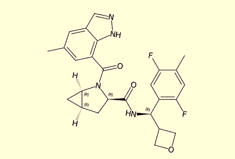 Cc1cc(C(=O)N2[C@@H](C(=O)N[C@@H](c3cc(F)c(C)cc3F)C3COC3)C[C@H]3C[C@H]32)c2[nH]ncc2c1